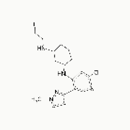 Cn1ccc(-c2cnc(Cl)cc2NC2CCCC(NCCF)C2)n1